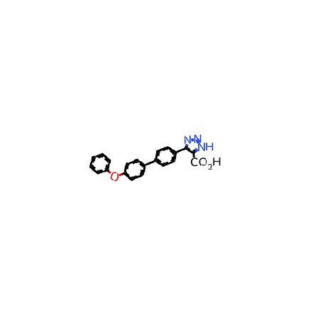 O=C(O)c1[nH]nnc1-c1ccc(-c2ccc(Oc3ccccc3)cc2)cc1